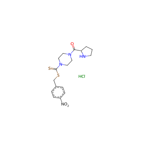 Cl.O=C(C1CCCN1)N1CCN(C(=S)SCc2ccc([N+](=O)[O-])cc2)CC1